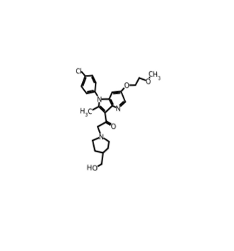 COCCOc1cnc2c(C(=O)CN3CCC(CO)CC3)c(C)n(-c3ccc(Cl)cc3)c2c1